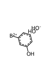 [B+2]c1cccc(O)c1.[OH-].[OH-]